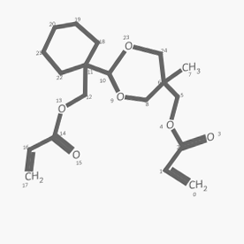 C=CC(=O)OCC1(C)COC(C2(COC(=O)C=C)CCCCC2)OC1